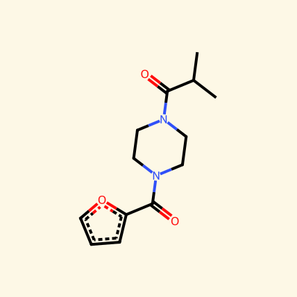 CC(C)C(=O)N1CCN(C(=O)c2ccco2)CC1